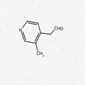 Cc1cnccc1CC=O